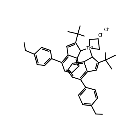 CCc1ccc(-c2cccc3c2C=C(C(C)(C)C)[CH]3[Ti+2]2([CH]3C(C(C)(C)C)=Cc4c(-c5ccc(CC)cc5)cccc43)[CH2]C[CH2]2)cc1.[Cl-].[Cl-]